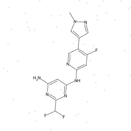 Cn1cc(-c2cnc(Nc3cc(N)nc(C(F)F)n3)cc2F)cn1